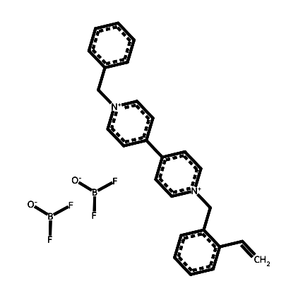 C=Cc1ccccc1C[n+]1ccc(-c2cc[n+](Cc3ccccc3)cc2)cc1.[O-]B(F)F.[O-]B(F)F